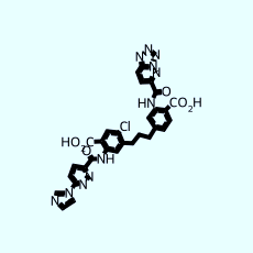 O=C(Nc1cc(CCCc2ccc(C(=O)O)c(NC(=O)c3ccc4nnnn4n3)c2)c(Cl)cc1C(=O)O)c1ccc(-n2ccnc2)nn1